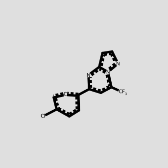 FC(F)(F)c1cc(-c2ccc(Cl)cc2)nc2c[c]nn12